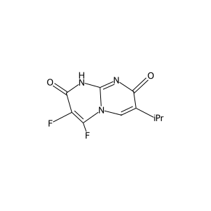 CC(C)c1cn2c(F)c(F)c(=O)[nH]c2nc1=O